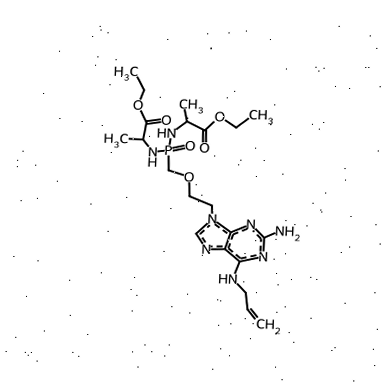 C=CCNc1nc(N)nc2c1ncn2CCOCP(=O)(NC(C)C(=O)OCC)NC(C)C(=O)OCC